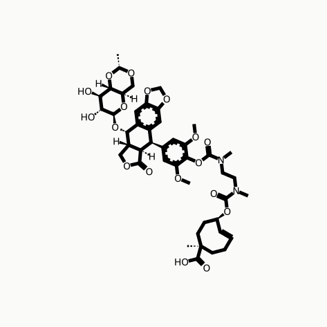 COc1cc([C@@H]2c3cc4c(cc3[C@@H](O[C@@H]3O[C@@H]5CO[C@@H](C)O[C@H]5[C@H](O)[C@H]3O)[C@H]3COC(=O)[C@H]23)OCO4)cc(OC)c1OC(=O)N(C)CCN(C)C(=O)O[C@H]1/C=C/CC[C@@](C)(C(=O)O)CC1